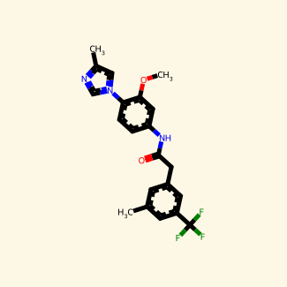 COc1cc(NC(=O)Cc2cc(C)cc(C(F)(F)F)c2)ccc1-n1cnc(C)c1